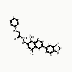 O=C(COc1ccccc1)NCc1cc(Cl)c2cc(-c3ccc4c(c3)OCO4)cnc2c1O